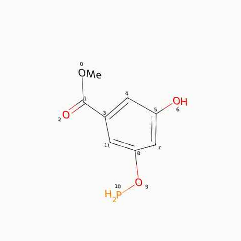 COC(=O)c1cc(O)cc(OP)c1